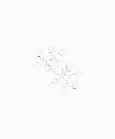 Fc1ccc(N2c3cc4c(cc3B3c5ccccc5N(c5ccccc5)c5cc(N(c6ccccc6)c6ccccc6)cc2c53)B2c3ccccc3N(c3ccccc3-c3ccccc3)c3cc(N(c5ccccc5)c5ccccc5-c5ccccc5)cc(c32)S4)c(F)c1